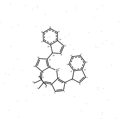 CC(C)=C1C=CC(C2C=Cc3ccccc32)=[C]1[Zr][C]1=C(C2C=Cc3ccccc32)C=CC1=C(C)C